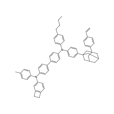 C=Cc1ccc(C23CC4CC(C2)CC(c2ccc(N(c5ccc(CCCC)cc5)c5ccc(-c6ccc(N(c7ccc(C)cc7)c7ccc8c(c7)CC8)cc6)cc5)cc2)(C4)C3)cc1